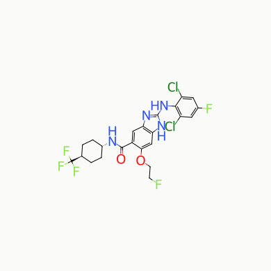 O=C(N[C@H]1CC[C@H](C(F)(F)F)CC1)c1cc2nc(Nc3c(Cl)cc(F)cc3Cl)[nH]c2cc1OCCF